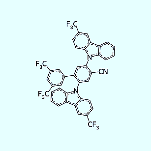 N#Cc1cc(-n2c3ccccc3c3cc(C(F)(F)F)ccc32)c(-c2cc(C(F)(F)F)cc(C(F)(F)F)c2)cc1-n1c2ccccc2c2cc(C(F)(F)F)ccc21